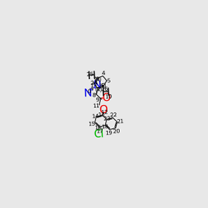 N#CN1[C@@H]2CC[C@H]1[C@@H](CC(=O)COc1ccc(Cl)c3ccccc13)C2